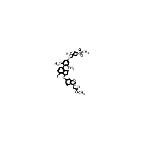 COC(=O)C[C@@H]1COc2cc(O[C@@H]3CCc4c(-c5c(C)cc(OCC6(C)CN(S(C)(=O)=O)C6)cc5C)ccc(F)c43)ccc21